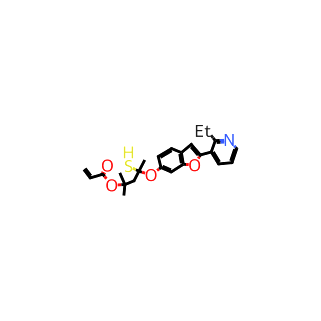 C=CC(=O)OC(C)(C)CC(C)(S)Oc1ccc2cc(-c3cccnc3CC)oc2c1